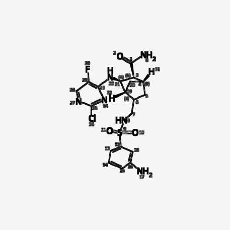 NC(=O)[C@H]1[C@@H]2CC(CNS(=O)(=O)c3cccc(N)c3)[C@@H](C2)[C@H]1Nc1nc(Cl)ncc1F